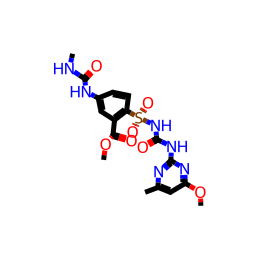 CNC(=O)Nc1ccc(S(=O)(=O)NC(=O)Nc2nc(C)cc(OC)n2)c(C(=O)OC)c1